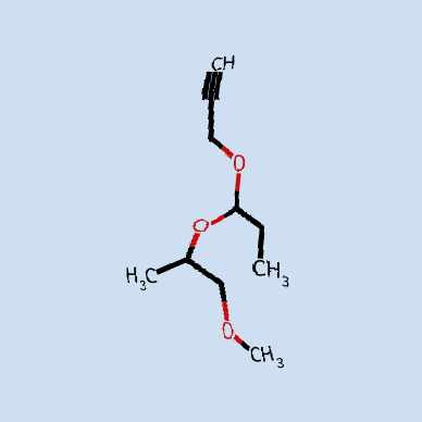 C#CCOC(CC)OC(C)COC